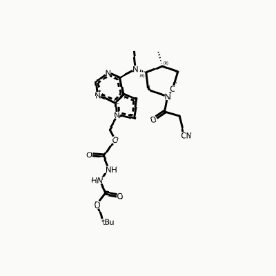 C[C@@H]1CCN(C(=O)CC#N)C[C@@H]1N(C)c1ncnc2c1ccn2COC(=O)NNC(=O)OC(C)(C)C